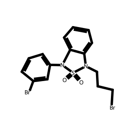 O=S1(=O)N(CCCBr)c2ccccc2N1c1cccc(Br)c1